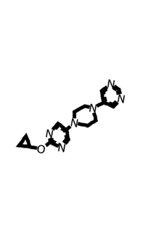 c1ncc(N2CCN(c3cnc(OC4CC4)nc3)CC2)cn1